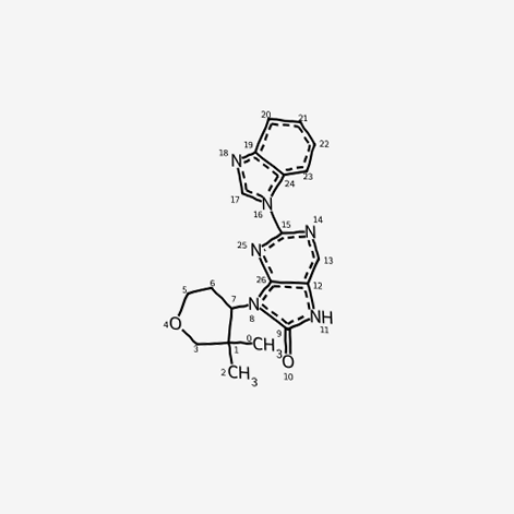 CC1(C)COCCC1n1c(=O)[nH]c2cnc(-n3cnc4ccccc43)nc21